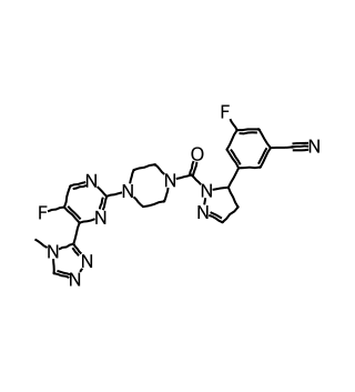 Cn1cnnc1-c1nc(N2CCN(C(=O)N3N=CCC3c3cc(F)cc(C#N)c3)CC2)ncc1F